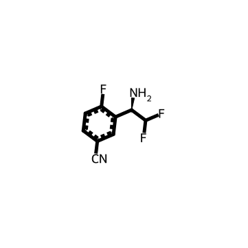 N#Cc1ccc(F)c([C@@H](N)C(F)F)c1